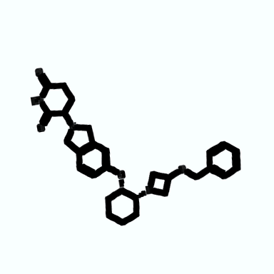 O=C1CCC(N2Cc3ccc(O[C@H]4CCCC[C@H]4N4CC(OCc5ccccc5)C4)cc3C2)C(=O)N1